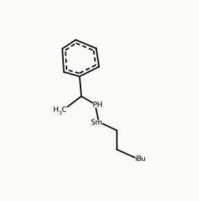 CCC(C)C[CH2][Sm][PH]C(C)c1ccccc1